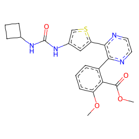 COC(=O)c1c(OC)cccc1-c1nccnc1-c1cc(NC(=O)NC2CCC2)cs1